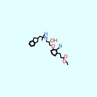 CCOC(=O)CCc1cccc(OC[C@H](O)CNC(C)(C)CC2Cc3ccccc3C2)c1C#N